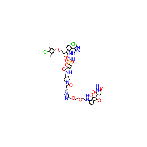 Cc1cc(OCCCc2c(C(=O)NS(=O)(=O)c3ccc(C(=O)NCC4CCN(C(=O)CCCn5cc(COCCOCCNc6cccc7c6C(=O)C(C6CCC(=O)NC6=O)C7=O)nn5)CC4)o3)[nH]c3c(-c4c(C)nn(C)c4C)c(Cl)ccc23)cc(C)c1Cl